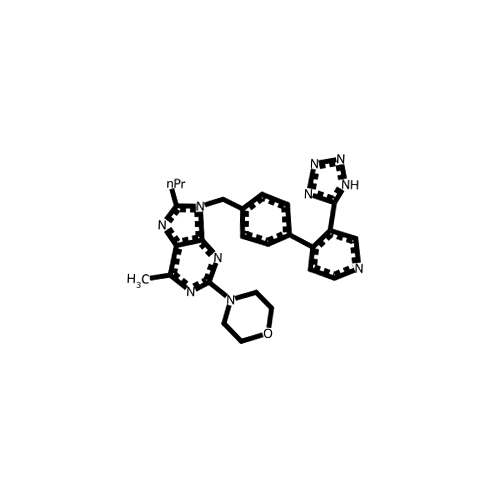 CCCc1nc2c(C)nc(N3CCOCC3)nc2n1Cc1ccc(-c2ccncc2-c2nnn[nH]2)cc1